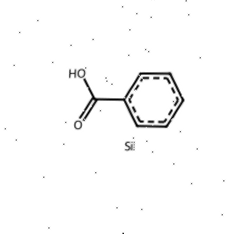 O=C(O)c1ccccc1.[Si]